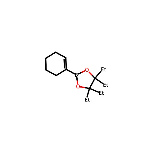 CCC1(CC)OB(C2=CCCCC2)OC1(CC)CC